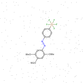 COc1cc(OC)c(OC)cc1/N=N/c1ccc(S(F)(F)(F)(F)F)cc1